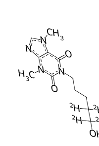 [2H]C([2H])(O)C([2H])([2H])CCCn1c(=O)c2c(ncn2C)n(C)c1=O